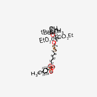 CCOC(=O)C(COCSSCCCCCCOS(=O)(=O)c1ccc(C)cc1)(CO[Si](C)(C)C(C)(C)C)C(=O)OCC